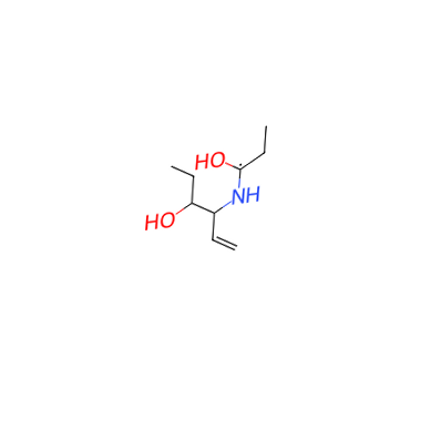 C=CC(N[C](O)CC)C(O)CC